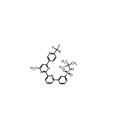 Cc1cc(-c2ccc(C(F)(F)F)nc2)nc(-c2cccc(-c3cccc(S(=O)(=O)NC(C)(C)C)c3)n2)n1